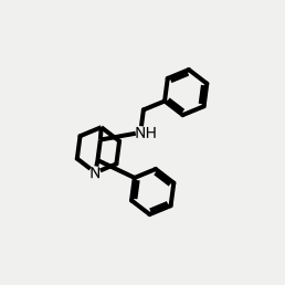 c1ccc(CNC2C3CCN(CC3)C2c2ccccc2)cc1